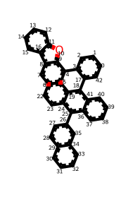 c1ccc(-c2cccc3c2oc2ccccc23)c(-c2c3ccccc3c(-c3ccc4ccccc4c3)c3ccccc23)c1